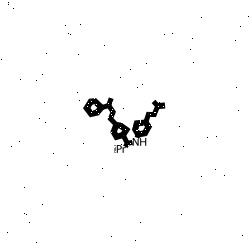 C=C(C)CCc1ccc(NC(c2ccc(CCC(C)c3ccccc3)cc2)C(C)C)cc1